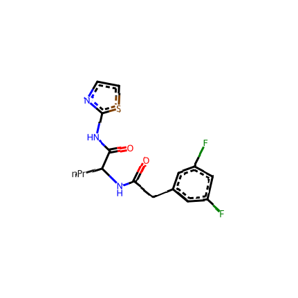 CCCC(NC(=O)Cc1cc(F)cc(F)c1)C(=O)Nc1nccs1